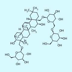 CC1(C)CC[C@]2(CO[C@@H]3O[C@H](CO[C@@H]4O[C@H](CO)[C@@H](O)[C@H](O)[C@H]4O)[C@@H](O)[C@H](O)[C@H]3O)[C@@H](O)C[C@]3(C)C(=CC[C@@H]4[C@@]5(C)CC[C@H](O)[C@@](C)(CO[C@@H]6O[C@H](CO)[C@@H](O)[C@H](O)[C@H]6O)[C@@H]5CC[C@]43C)[C@@H]2C1